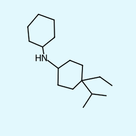 CCC1(C(C)C)CCC(NC2CCCCC2)CC1